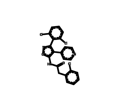 O=C(Cc1ccccc1Cl)Nc1onc(-c2c(Cl)cccc2Cl)c1-c1ccncc1